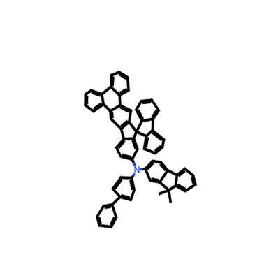 CC1(C)c2ccccc2-c2ccc(N(c3ccc(-c4ccccc4)cc3)c3ccc4c(c3)C3(c5ccccc5-c5ccccc53)c3cc5c6ccccc6c6ccccc6c5cc3-4)cc21